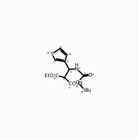 CCOC(=O)C(C(=O)OCC)C(NC(=O)OC(C)(C)C)c1ccsc1